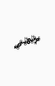 CC(C)(C)OC(=O)N1CCN(C(=O)CCC(=O)Nc2cccc3c(C(=O)NCC(=O)N4CC(F)(F)CC4C#N)ccnc23)CC1